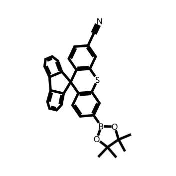 CC1(C)OB(c2ccc3c(c2)Sc2cc(C#N)ccc2C32c3ccccc3-c3ccccc32)OC1(C)C